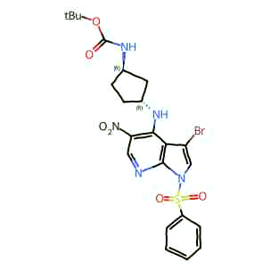 CC(C)(C)OC(=O)N[C@@H]1CC[C@@H](Nc2c([N+](=O)[O-])cnc3c2c(Br)cn3S(=O)(=O)c2ccccc2)C1